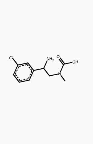 CN(CC(N)c1cccc(Cl)c1)C(=O)O